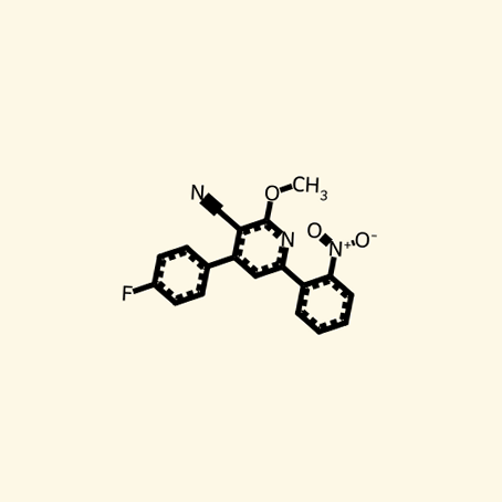 COc1nc(-c2ccccc2[N+](=O)[O-])cc(-c2ccc(F)cc2)c1C#N